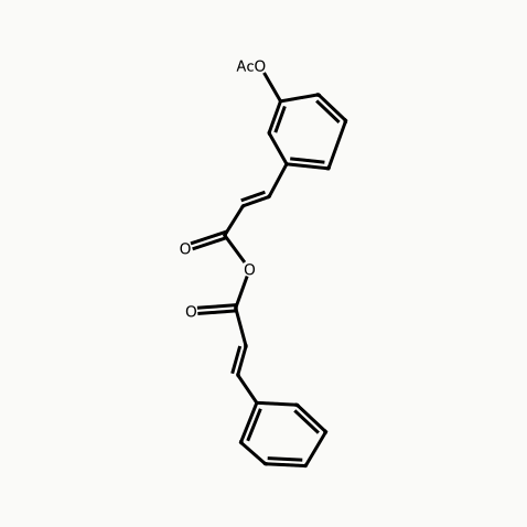 CC(=O)Oc1cccc(C=CC(=O)OC(=O)C=Cc2ccccc2)c1